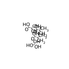 C=C(C)C(=O)O.C=C(C)C(=O)O.C=C(C)C(=O)O.OC(O)O